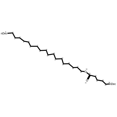 CCCCCCCCCCCCCCCCCCCCCCCCCCCCOC(=O)CCCCCCCCCCCCCC